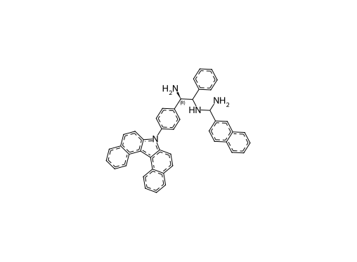 NC(NC(c1ccccc1)[C@H](N)c1ccc(-n2c3ccc4ccccc4c3c3c4ccccc4ccc32)cc1)c1ccc2ccccc2c1